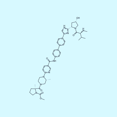 CN[C@H](C(=O)N1C[C@@H](O)C[C@H]1c1nc(-c2ccc(-c3ccc(NC(=O)c4ccc(N5CCN(C(=O)[C@]6(C)CCCN6C(=O)OC)C[C@H]5C)nc4)cc3)cc2)c[nH]1)C(C)C